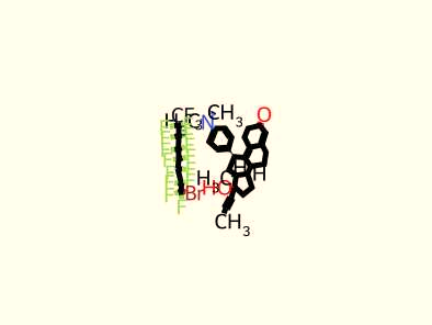 CC#C[C@]1(O)CC[C@H]2[C@@H]3CCC4=CC(=O)CCC4=C3[C@@H](c3ccc(N(C)C)cc3)C[C@@]21C.FC(F)(F)C(F)(F)C(F)(F)C(F)(F)C(F)(F)C(F)(F)C(F)(F)C(F)(F)Br